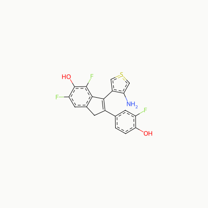 Nc1cscc1C1=C(c2ccc(O)c(F)c2)Cc2cc(F)c(O)c(F)c21